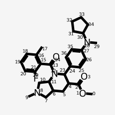 COC(=O)C1CC2CN(C)CC2N(C(=O)c2c(C)cccc2F)C1c1ccc(N(C)C2CCCC2)cc1